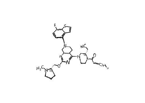 C=CC(=O)N1CCN(c2nc(OC[C@@H]3CCCN3C)nc3c2CCN(c2ccc(F)c4sccc24)C3)C[C@@H]1CC#N